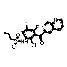 CCCS(=O)(=O)Nc1cc(F)c(F)c(C(=O)c2cc3cccnc3cn2)c1Cl